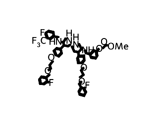 COC(=O)COc1cccc(CNC2CNCCC2c2ccc(OCCCOCc3ccccc3F)cc2)c1.Fc1ccccc1COCCCOc1ccc(C2CCNCC2NCc2ccc(F)c(C(F)(F)F)c2)cc1